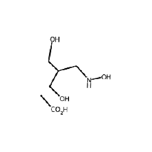 CC(=O)O.OCC(CO)CNO